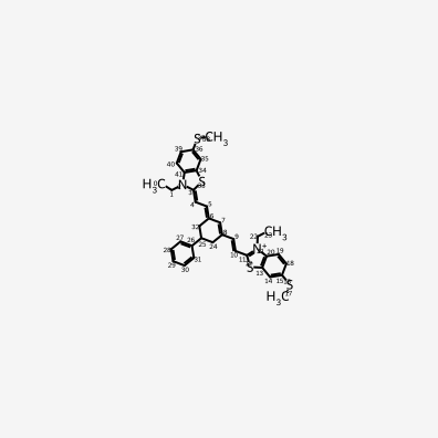 CCN1/C(=C/C=C2C=C(/C=C/c3sc4cc(SC)ccc4[n+]3CC)CC(c3ccccc3)C/2)Sc2cc(SC)ccc21